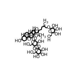 CC1=C(CC[C@H](C)CO[C@@H]2O[C@H](CO)[C@@H](O)[C@H](O)[C@H]2O)O[C@H]2C[C@H]3[C@@H]4CC[C@@H]5C[C@@H](O)CC[C@]5(C)[C@H]4CC(O[C@@H]4O[C@H](CO)[C@H](O)[C@H](O[C@@H]5O[C@H](CO)[C@@H](O)[C@H](O)[C@H]5O)[C@H]4O)[C@]3(C)[C@@H]12